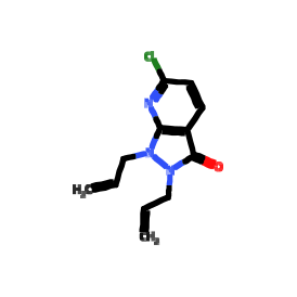 C=CCn1c(=O)c2ccc(Cl)nc2n1CC=C